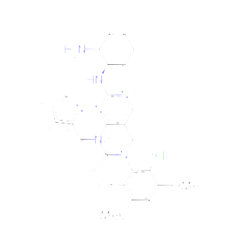 COc1cc(OC)c(Cl)c(N2Cc3cnc(N[C@@H]4CCCCC4N)nc3N(Cc3cscn3)C2=O)c1Cl